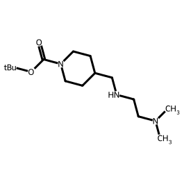 CN(C)CCNCC1CCN(C(=O)OC(C)(C)C)CC1